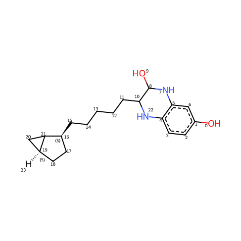 Oc1ccc2c(c1)NC(O)C(CCCCC[C@H]1CC[C@H]3CC13)N2